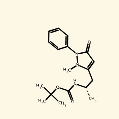 C[C@@H](Cc1cc(=O)n(-c2ccccc2)n1C)NC(=O)OC(C)(C)C